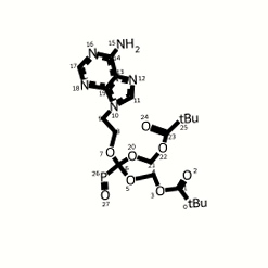 CC(C)(C)C(=O)OCOC(OCCn1cnc2c(N)ncnc21)(OCOC(=O)C(C)(C)C)P=O